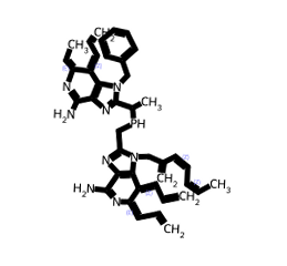 C=C/C=c1\c(=C/C=C)nc(N)c2nc(CPC(C)c3nc4c(N)nc(=C/C)/c(=C\C=C)c4n3Cc3ccccc3)n(CC(=C)/C=C\C=C/C)c12